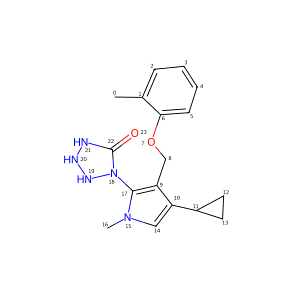 Cc1ccccc1OCc1c(C2CC2)cn(C)c1N1NNNC1=O